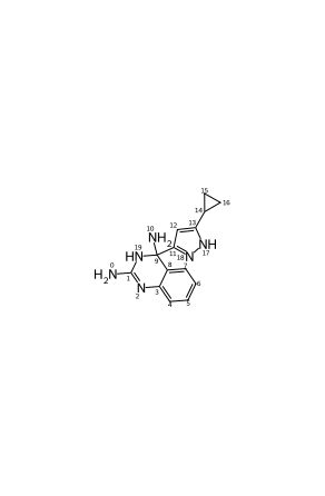 NC1=Nc2ccccc2C(N)(c2cc(C3CC3)[nH]n2)N1